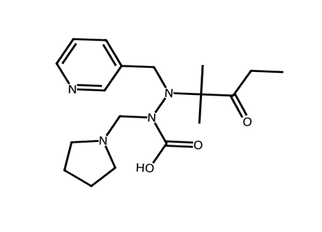 CCC(=O)C(C)(C)N(Cc1cccnc1)N(CN1CCCC1)C(=O)O